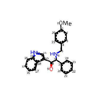 COc1ccc(CNC(C(=O)c2c[nH]c3ccccc23)c2ccccc2)cc1